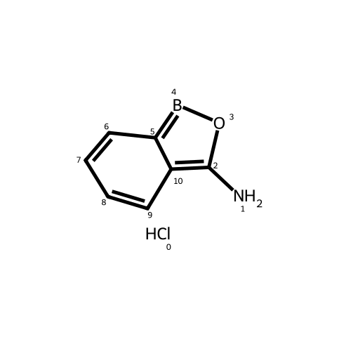 Cl.Nc1obc2ccccc12